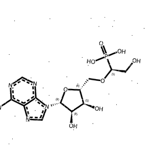 Nc1ncnc2c1ncn2[C@@H]1O[C@H](CO[C@H](CO)P(=O)(O)O)[C@@H](O)[C@H]1O